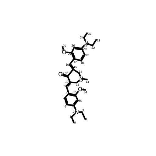 CCN(CC)c1ccc(C=C2CN(C)CC(=Cc3ccc(N(CC)CC)cc3OC)C2=O)c(OC)c1